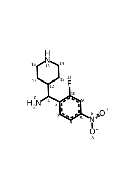 NC(c1ccc([N+](=O)[O-])cc1F)C1CCNCC1